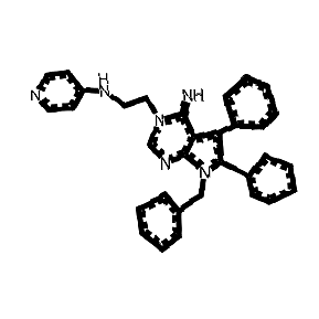 N=c1c2c(-c3ccccc3)c(-c3ccccc3)n(Cc3ccccc3)c2ncn1CCNc1ccncc1